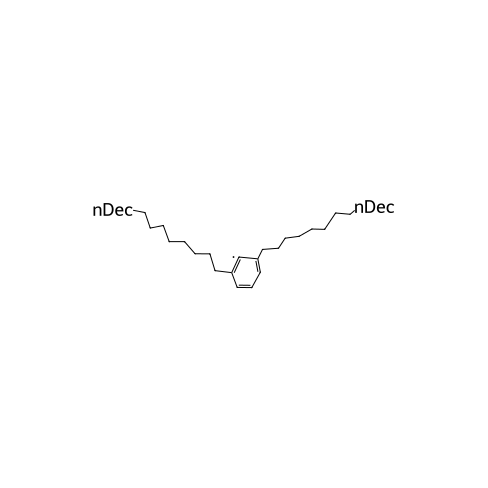 CCCCCCCCCCCCCCCCCCc1[c]c(CCCCCCCCCCCCCCCCCC)ccc1